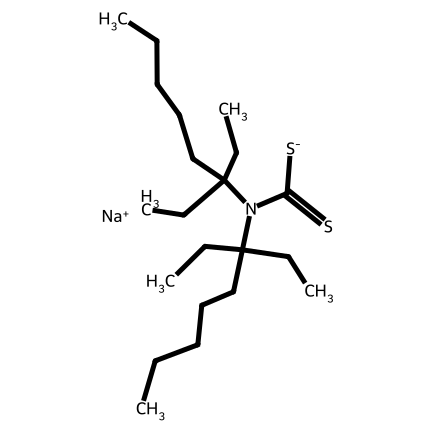 CCCCCC(CC)(CC)N(C(=S)[S-])C(CC)(CC)CCCCC.[Na+]